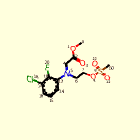 COC(=O)CN(CCOS(C)(=O)=O)c1cccc(Cl)c1F